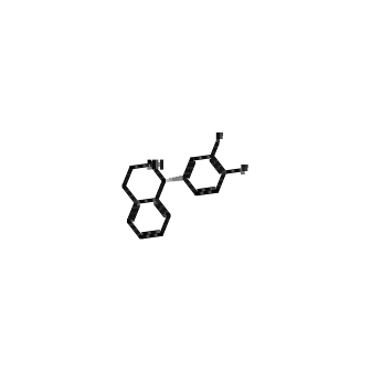 Fc1ccc([C@H]2NCCc3ccccc32)cc1F